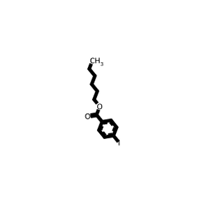 CCCCCCOC(=O)c1ccc(I)cc1